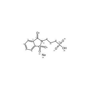 O=C1c2ccccc2S(=O)(=O)N1CCCS(=O)(=O)O.[Na]